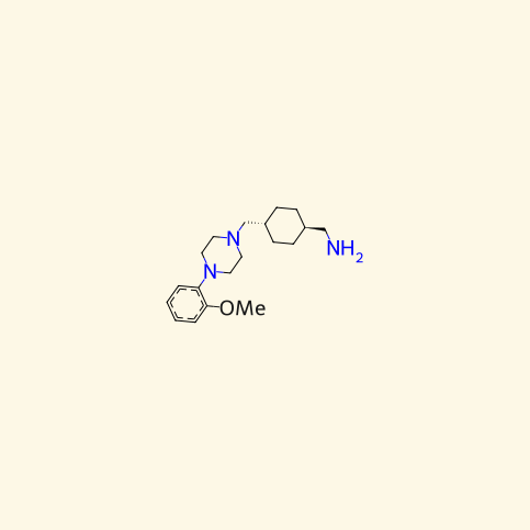 COc1ccccc1N1CCN(C[C@H]2CC[C@H](CN)CC2)CC1